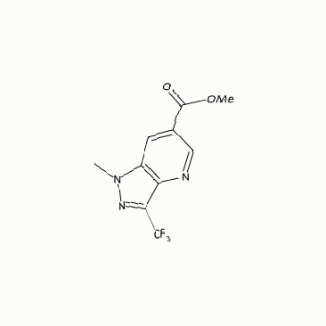 COC(=O)c1cnc2c(C(F)(F)F)nn(C)c2c1